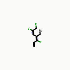 C=C/C(F)=C(\C=C(\F)CF)CC(C)=O